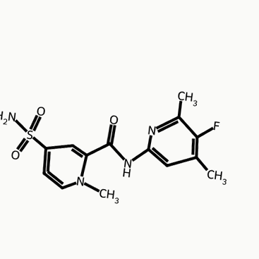 Cc1cc(NC(=O)C2=CC(S(N)(=O)=O)=C=CN2C)nc(C)c1F